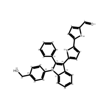 O=Cc1ccc(-c2ccc(-c3c(-c4ccccc4)n(-c4ccc(CO)cc4)c4ccccc34)s2)s1